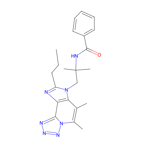 CCCc1nc2c(c(C)c(C)n3nnnc23)n1CC(C)(C)NC(=O)c1ccccc1